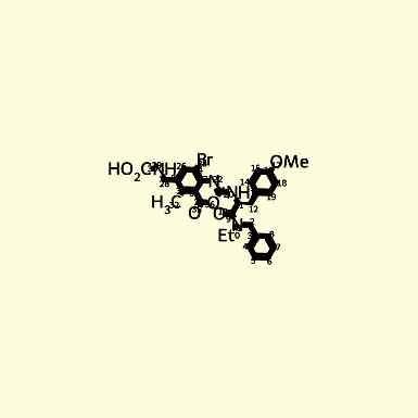 CCN(Cc1ccccc1)C(=O)[C@H](Cc1ccc(OC)cc1)Nc1nc2c(Br)cc(CNC(=O)O)c(C)c2c(=O)o1